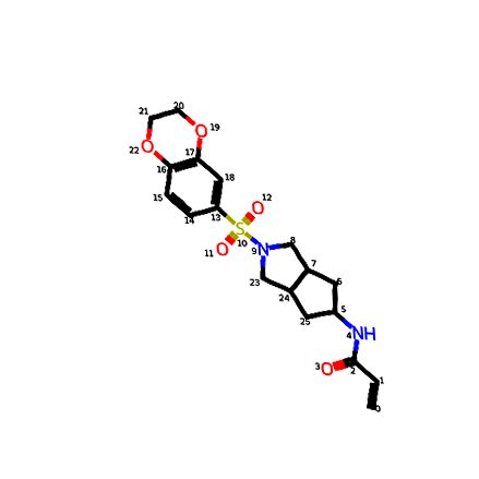 C=CC(=O)NC1CC2CN(S(=O)(=O)c3ccc4c(c3)OCCO4)CC2C1